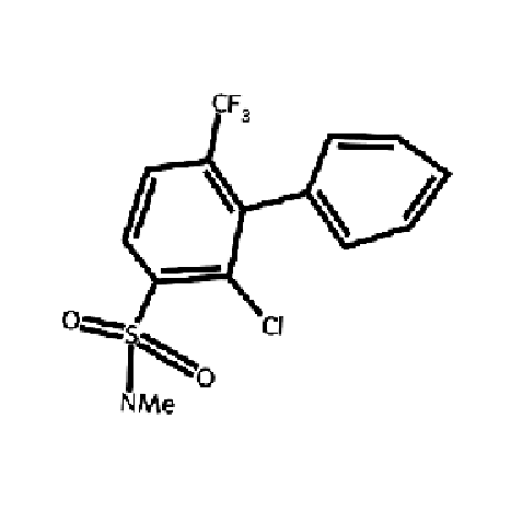 CNS(=O)(=O)c1ccc(C(F)(F)F)c(-c2ccccc2)c1Cl